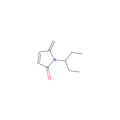 C=C1C=CC(=O)N1C(CC)CC